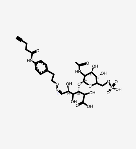 C#CCCC(=O)Nc1ccc(CCO/N=C\[C@@H](O)C(O)[C@H](O[C@@H]2OC(COS(=O)(=O)O)[C@@H](O)[C@H](O)C2NC(C)=O)C(O)C(=O)O)cc1